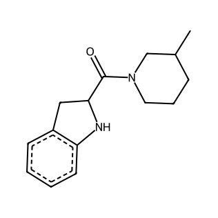 CC1CCCN(C(=O)C2Cc3ccccc3N2)C1